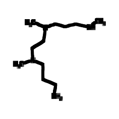 CNCCCN(C)CCN(C)CCCN